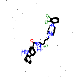 Cl.O=C(NCCCCN1CCN(c2cccc(Cl)c2Cl)CC1)c1ccc2c(c1)[nH]c1ccccc12